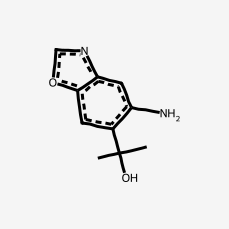 CC(C)(O)c1cc2ocnc2cc1N